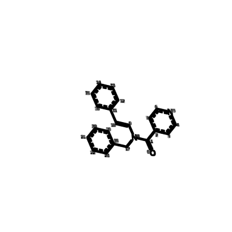 O=C(c1ccncc1)N(C=Cc1ccccc1)Cc1ccccc1